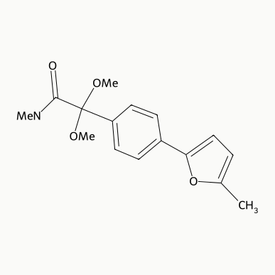 CNC(=O)C(OC)(OC)c1ccc(-c2ccc(C)o2)cc1